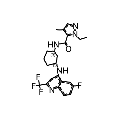 CCn1ncc(C)c1C(=O)N[C@@H]1CCC[C@H](Nc2cc(C(F)(F)F)nc3ccc(F)cc23)C1